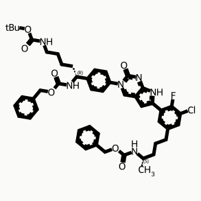 C[C@@H](CCCc1cc(Cl)c(F)c(-c2cc3cn(-c4ccc([C@@H](CCCCNC(=O)OC(C)(C)C)NC(=O)OCc5ccccc5)cc4)c(=O)nc3[nH]2)c1)NC(=O)OCc1ccccc1